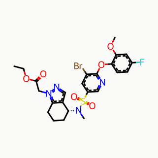 CCOC(=O)Cn1ncc2c1CCC[C@H]2N(C)S(=O)(=O)c1cnc(Oc2ccc(F)cc2OC)c(Br)c1